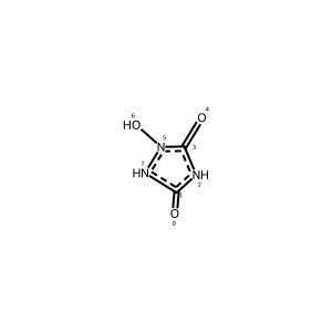 O=c1[nH]c(=O)n(O)[nH]1